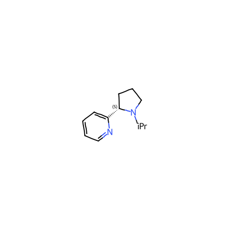 CC(C)N1CCC[C@H]1c1ccccn1